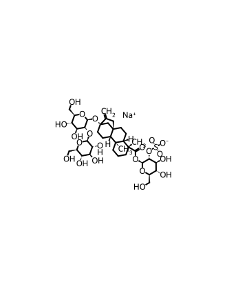 C=C1C[C@@]23CC[C@H]4[C@@](C)(CCC[C@@]4(C)C(=O)O[C@@H]4O[C@H](CO)[C@@H](O)[C@H](O)[C@H]4OS(=O)(=O)[O-])[C@@H]2CC[C@]1(O[C@@H]1O[C@H](CO)[C@@H](O)[C@H](O)[C@H]1O[C@@H]1O[C@H](CO)[C@@H](O)[C@H](O)[C@H]1O)C3.[Na+]